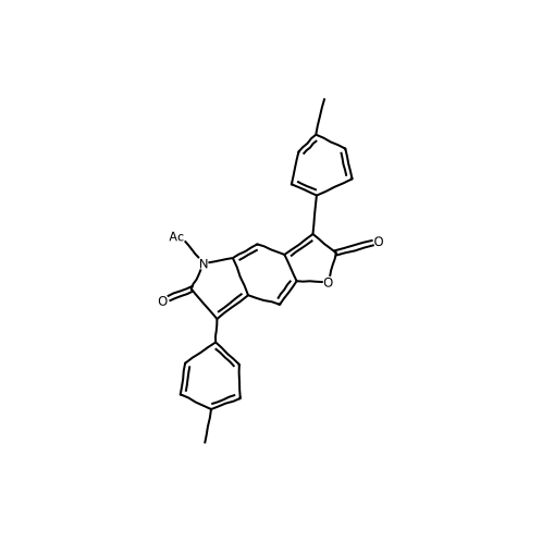 CC(=O)N1C(=O)C(c2ccc(C)cc2)=c2cc3c(cc21)=C(c1ccc(C)cc1)C(=O)O3